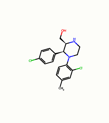 Cc1ccc(N2CCN[C@H](CO)[C@@H]2c2ccc(Cl)cc2)c(Cl)c1